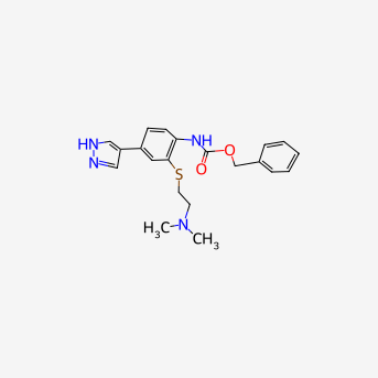 CN(C)CCSc1cc(-c2cn[nH]c2)ccc1NC(=O)OCc1ccccc1